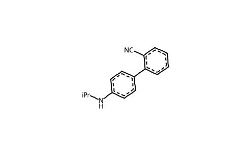 CC(C)Nc1ccc(-c2ccccc2C#N)cc1